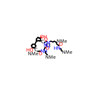 CCN1C(=O)[C@H](CCCNC)NC(=O)[C@@H](NC)Cc2cc(ccc2O)-c2ccc(O)c(c2)C[C@H]1C(=O)NCCC[C@@H](CC(=O)NCCNC)NC